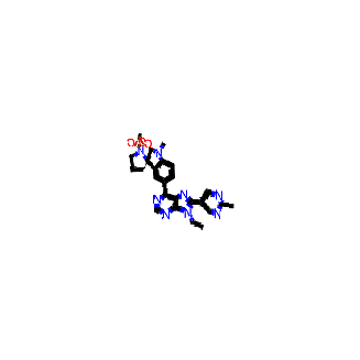 CCn1c(-c2cnc(C)nc2)nc2c(-c3ccc4c(c3)[C@]3(CCCN3S(C)(=O)=O)C(=O)N4C)ncnc21